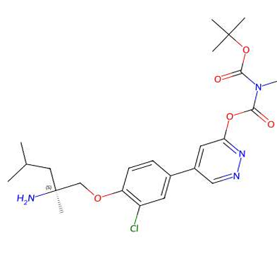 CC(C)C[C@](C)(N)COc1ccc(-c2cnnc(OC(=O)N(C)C(=O)OC(C)(C)C)c2)cc1Cl